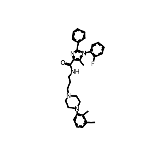 Cc1cccc(N2CCN(CCCNC(=O)c3nc(-c4ccccc4)n(-c4ccccc4F)c3C)CC2)c1C